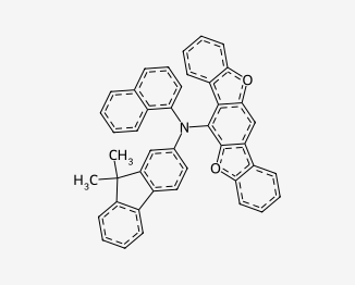 CC1(C)c2ccccc2-c2ccc(N(c3cccc4ccccc34)c3c4oc5ccccc5c4cc4oc5ccccc5c34)cc21